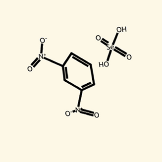 O=[N+]([O-])c1cccc([N+](=O)[O-])c1.O=[Se](=O)(O)O